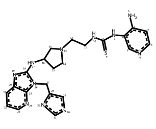 Nc1ccncc1NC(=S)NCCN1CCC(Nc2nc3cccnc3n2Cc2cscn2)C1